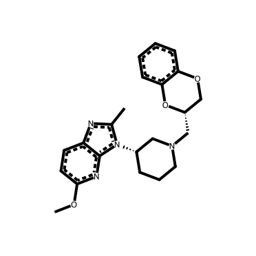 COc1ccc2nc(C)n([C@H]3CCCN(C[C@H]4COc5ccccc5O4)C3)c2n1